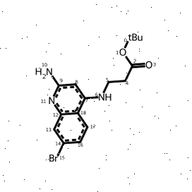 CC(C)(C)OC(=O)CCNc1cc(N)nc2cc(Br)ccc12